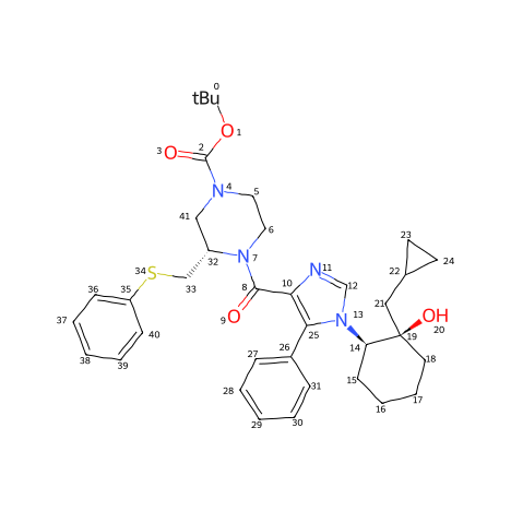 CC(C)(C)OC(=O)N1CCN(C(=O)c2ncn([C@@H]3CCCC[C@@]3(O)CC3CC3)c2-c2ccccc2)[C@H](CSc2ccccc2)C1